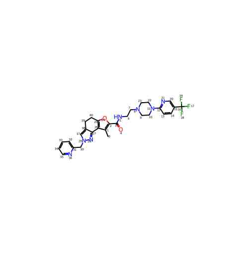 Cc1c(C(=O)NCCN2CCN(c3ccc(C(F)(F)F)cn3)CC2)oc2c1-c1nn(Cc3ccccn3)cc1CC2